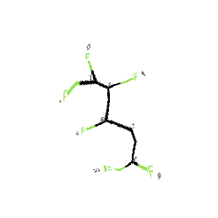 F[C](F)C(F)C(F)CC(F)F